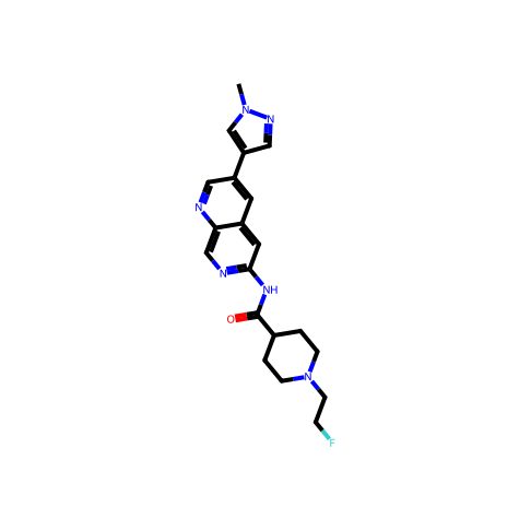 Cn1cc(-c2cnc3cnc(NC(=O)C4CCN(CCF)CC4)cc3c2)cn1